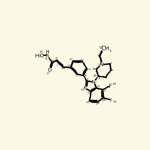 CCN1CCC[C@@H](n2c(-c3cccc(/C=C/C(=O)NO)c3)nc3ccc(F)c(F)c32)C1